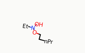 CCCCCON(O)CC